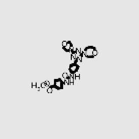 COC(=O)c1ccc(NC(=O)Nc2ccc(-c3nc(N4CCCOCC4)nc(N4CCOCC4)n3)cc2)cc1